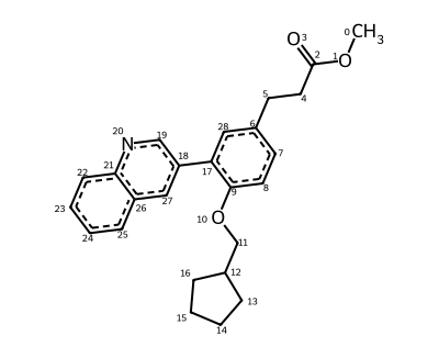 COC(=O)CCc1ccc(OCC2CCCC2)c(-c2cnc3ccccc3c2)c1